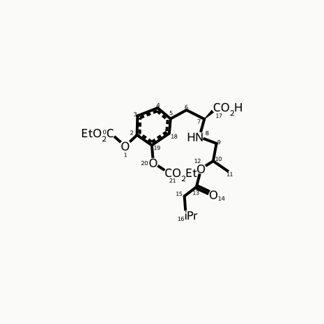 CCOC(=O)Oc1ccc(C[C@H](NCC(C)OC(=O)CC(C)C)C(=O)O)cc1OC(=O)OCC